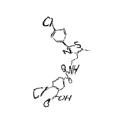 Cc1sc(-c2ccc(Cl)cc2)nc1CCNS(=O)(=O)c1ccc(Cl)c(C(=O)O)c1